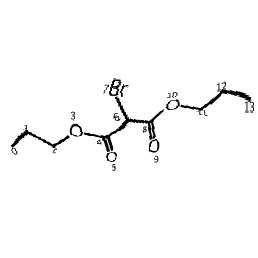 CCCOC(=O)C(Br)C(=O)OCCC